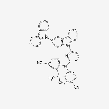 CC1(C)c2cc(C#N)ccc2N(c2cccc(-n3c4ccccc4c4cc(-n5c6ccccc6c6ccccc65)ccc43)n2)c2ccc(C#N)cc21